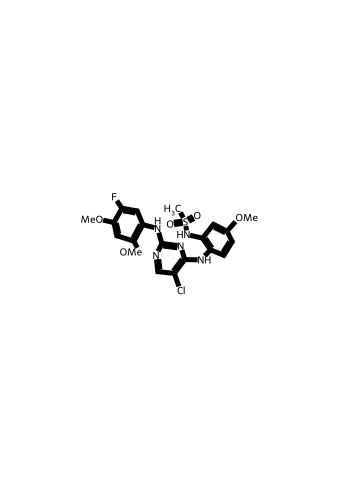 COc1ccc(Nc2nc(Nc3cc(F)c(OC)cc3OC)ncc2Cl)c(NS(C)(=O)=O)c1